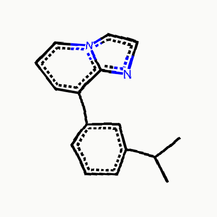 CC(C)c1cccc(-c2cccn3ccnc23)c1